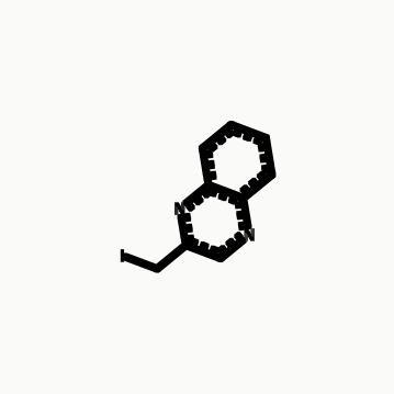 ICc1cnc2ccccc2n1